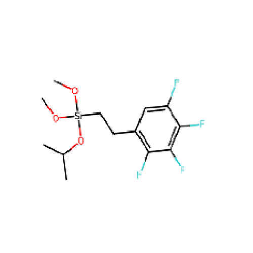 CO[Si](CCc1cc(F)c(F)c(F)c1F)(OC)OC(C)C